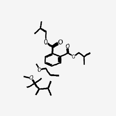 CC(C)COC(=O)c1ccccc1C(=O)OCC(C)C.CCCOC.COC(C)(C)C(C)C(C)C